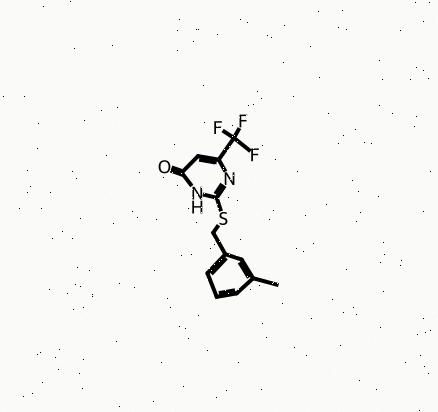 Cc1cccc(CSc2nc(C(F)(F)F)cc(=O)[nH]2)c1